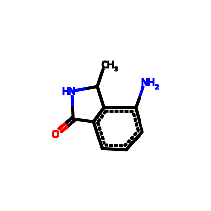 CC1NC(=O)c2cccc(N)c21